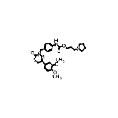 COc1ccc(C2=NN(Cc3ccc(NC(=O)OCCCN4CCCC4)cc3)C(=O)SC2)cc1OC